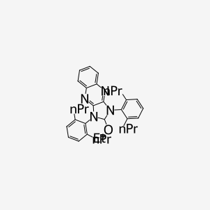 CCCc1cccc(CCC)c1N1c2nc3ccccc3nc2N(c2c(CCC)cccc2CCC)C1OCC